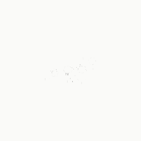 CCC1c2cc(-c3c(F)cccc3F)nnc2C(C)(c2nccc(-c3cc(C)no3)n2)C1(C)C